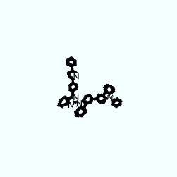 c1ccc(-c2ccc(-c3ccc(-c4nc(-n5c6ccccc6c6cc(-c7ccc8c(c7)c7ccccc7n8-c7ccccc7)ccc65)nc5ccccc45)cc3)nc2)cc1